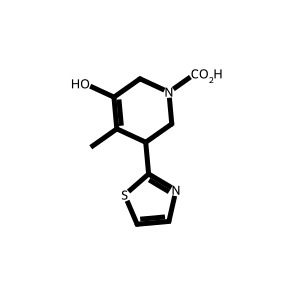 CC1=C(O)CN(C(=O)O)CC1c1nccs1